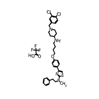 CN(CCc1ccccc1)c1nc(-c2ccc(OCCCCNC3CCN(Cc4ccc(Cl)c(Cl)c4)CC3)cc2)cs1.O=C(O)C(F)(F)F